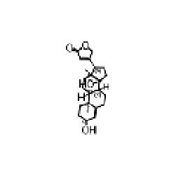 C[C@]12CC[C@H](O)CC1CC[C@@H]1[C@@H]2CC[C@]2(C)[C@@H](C3=CC(=O)OC3)CC[C@]12O